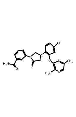 Cc1cnc(C)c(Oc2cc(Cl)ccc2[C@H]2CC(=O)N(c3cccc(C(N)=O)c3)C2)n1